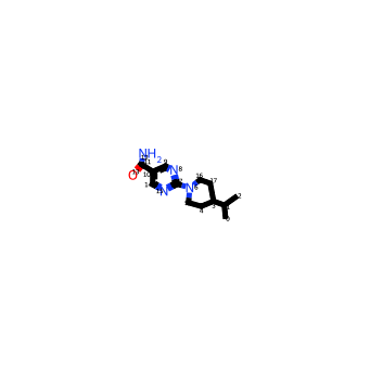 CC(C)C1CCN(c2ncc(C(N)=O)cn2)CC1